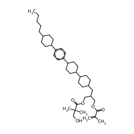 C=C(C)C(=O)OCC(COC(=O)C(C)(C)CO)CC1CCC(C2CCC(c3ccc(C4CCC(CCCCC)CC4)cc3)CC2)CC1